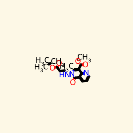 COC(=O)c1c(C)n(NCCC(=O)OC(C)(C)C)c(=O)c2cccnc12